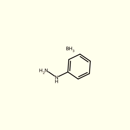 B.NNc1ccccc1